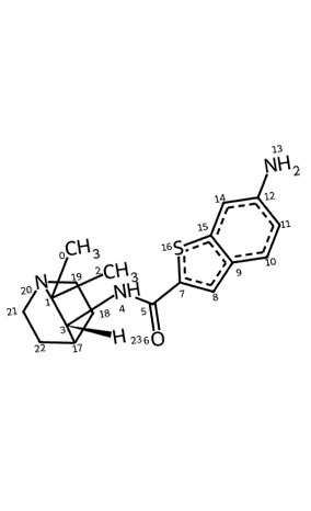 CC1(C)[C@H](NC(=O)c2cc3ccc(N)cc3s2)C2CCN1CC2